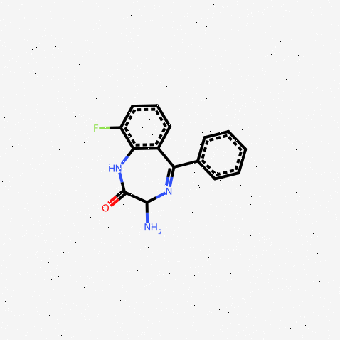 NC1N=C(c2ccccc2)c2cccc(F)c2NC1=O